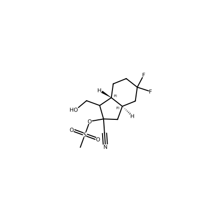 CS(=O)(=O)OC1(C#N)C[C@@H]2CC(F)(F)CC[C@H]2C1CO